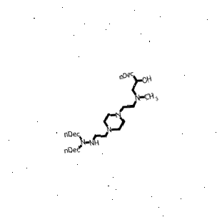 CCCCCCCCCCC(O)CN(C)CCN1CCN(CCNN(CCCCCCCCCC)CCCCCCCCCC)CC1